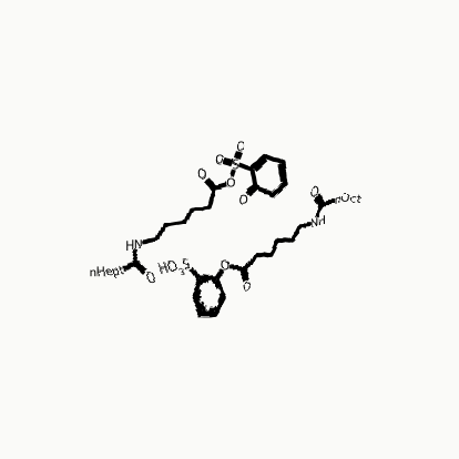 CCCCCCCC(=O)NCCCCCC(=O)OS(=O)(=O)C1=CC=CCC1=O.CCCCCCCCC(=O)NCCCCCC(=O)Oc1ccccc1S(=O)(=O)O